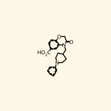 O=C(O)c1ccc2c(c1)N(CC1CCN(c3ccccc3)CC1)C(=O)CO2